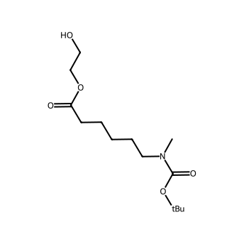 CN(CCCCCC(=O)OCCO)C(=O)OC(C)(C)C